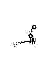 CCCCCCCCC(C)Nc1ccc(NCCc2ccccc2)cc1